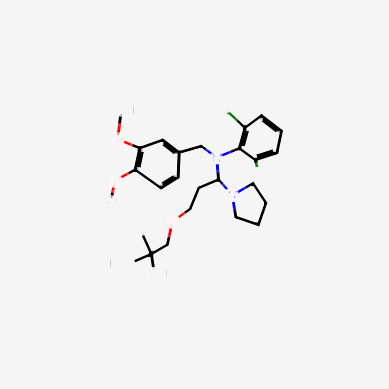 COc1ccc(CN(c2c(Cl)cccc2Cl)C(CCOCC(C)(C)C)N2CCCC2)cc1OC